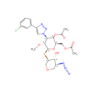 CO[C@@H]1[C@@H](n2cc(-c3cccc(F)c3)nn2)[C@@H](OC(C)=O)[C@@H](COC(C)=O)O[C@H]1S[C@@H]1COC[C@H](N=[N+]=[N-])[C@H]1O